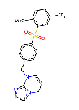 COc1ccc(C(F)(F)F)cc1S(=O)(=O)c1ccc(CN2C=CCn3ccnc32)cc1